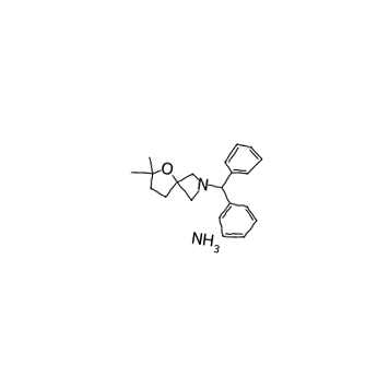 CC1(C)CCC2(CN(C(c3ccccc3)c3ccccc3)C2)O1.N